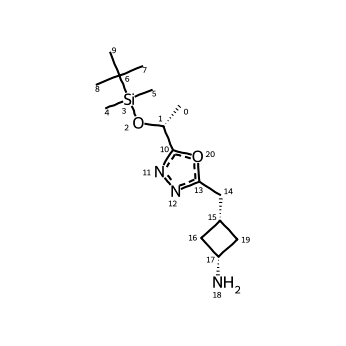 C[C@@H](O[Si](C)(C)C(C)(C)C)c1nnc(C[C@H]2C[C@@H](N)C2)o1